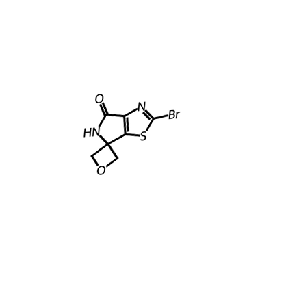 O=C1NC2(COC2)c2sc(Br)nc21